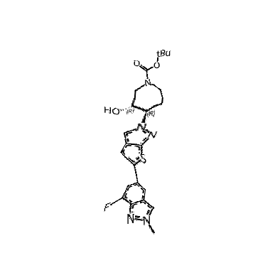 Cn1cc2cc(-c3cc4cn([C@@H]5CCN(C(=O)OC(C)(C)C)C[C@H]5O)nc4s3)cc(F)c2n1